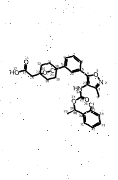 Cc1noc(-c2cccc(C34CCC(CC(=O)O)(CC3)OC4)c2)c1NC(=O)O[C@H](C)c1ccccc1Cl